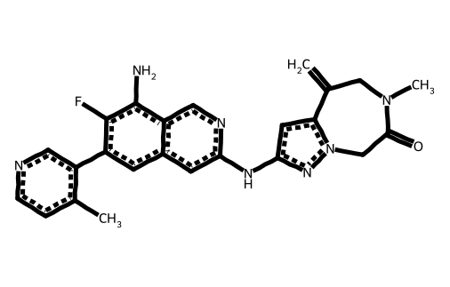 C=C1CN(C)C(=O)Cn2nc(Nc3cc4cc(-c5cnccc5C)c(F)c(N)c4cn3)cc21